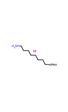 CCCCCCCCCCCCCCN.I